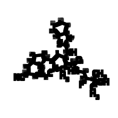 C=N/C(=C\C(Nc1nc2ccccc2s1)=C(/C)C(=O)NC[C@@H](F)C(C)(C)O)c1ccc2cc(C#N)cnn12